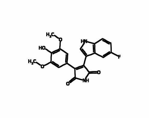 COc1cc(C2=C(c3c[nH]c4ccc(F)cc34)C(=O)NC2=O)cc(OC)c1O